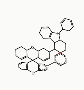 C1=CCC(N2C3=C(CCC=C3)C3C(C4C=CC5C(C4)OC4CCCC=C4C54C5=C(CCC=C5)Oc5ccc(-c6ccccc6)cc54)CCCC32)C=C1